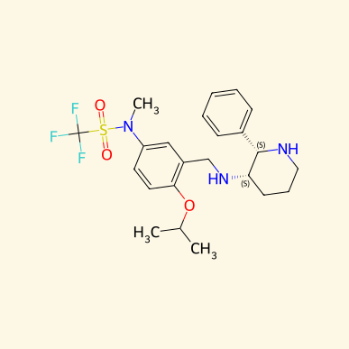 CC(C)Oc1ccc(N(C)S(=O)(=O)C(F)(F)F)cc1CN[C@H]1CCCN[C@H]1c1ccccc1